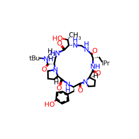 CC(C)C[C@@H]1NC(=O)[C@H]2CCCN2C(=O)[C@H](Cc2ccc(O)cc2)NC(=O)[C@@H]2CCCN2[C@H](C(=O)NC(C)(C)C)[C@H](C)NC(=O)[C@H]([C@@H](C)O)NCNC1=O